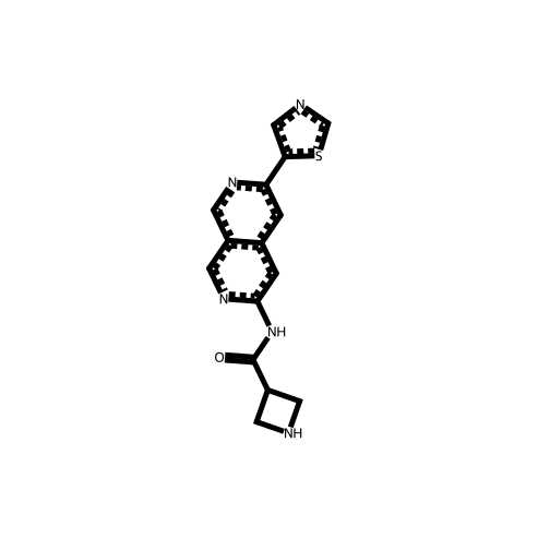 O=C(Nc1cc2cc(-c3cncs3)ncc2cn1)C1CNC1